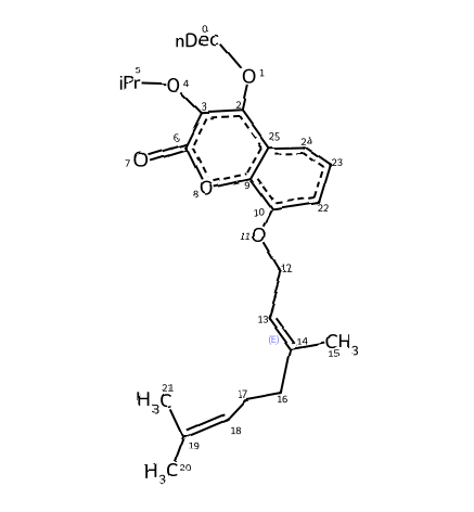 CCCCCCCCCCOc1c(OC(C)C)c(=O)oc2c(OC/C=C(\C)CCC=C(C)C)cccc12